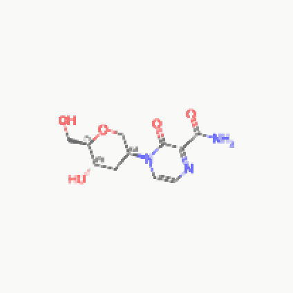 NC(=O)c1nccn([C@@H]2CO[C@H](CO)[C@@H](O)C2)c1=O